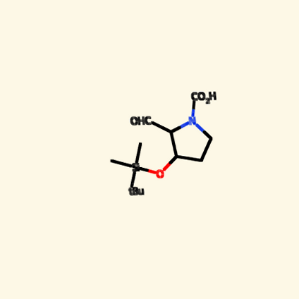 CC(C)(C)[Si](C)(C)OC1CCN(C(=O)O)C1C=O